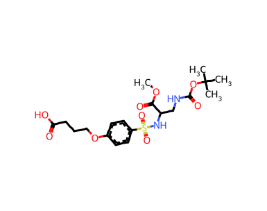 COC(=O)C(CNC(=O)OC(C)(C)C)NS(=O)(=O)c1ccc(OCCCC(=O)O)cc1